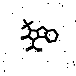 CC(C)(C)C1C(=O)N(C(=O)O)C2C3=CCCCC3CC21